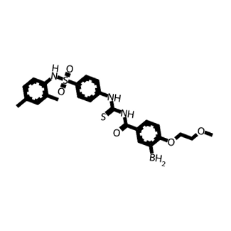 Bc1cc(C(=O)NC(=S)Nc2ccc(S(=O)(=O)Nc3ccc(C)cc3C)cc2)ccc1OCCOC